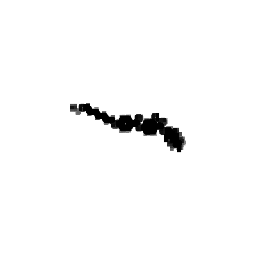 CCCCCCCCOc1ccc(C(=O)Oc2ccc(C(=O)OCC(F)(F)C(F)(F)C(F)(F)F)c(Cl)c2)cc1